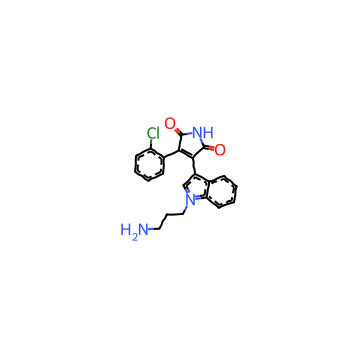 NCCCn1cc(C2=C(c3ccccc3Cl)C(=O)NC2=O)c2ccccc21